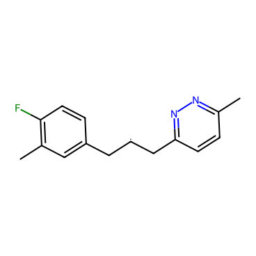 Cc1ccc(C[CH]Cc2ccc(F)c(C)c2)nn1